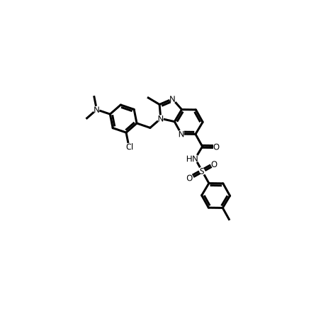 Cc1ccc(S(=O)(=O)NC(=O)c2ccc3nc(C)n(Cc4ccc(N(C)C)cc4Cl)c3n2)cc1